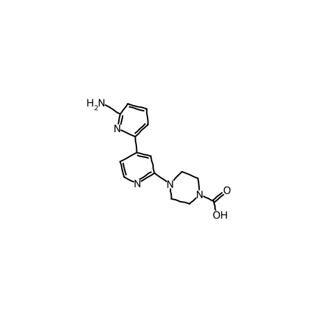 Nc1cccc(-c2ccnc(N3CCN(C(=O)O)CC3)c2)n1